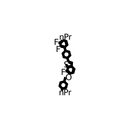 CCCc1ccc(C2CCC(c3cc4ccc(OCC5CCC(CCC)CC5)c(F)c4s3)CC2)c(F)c1F